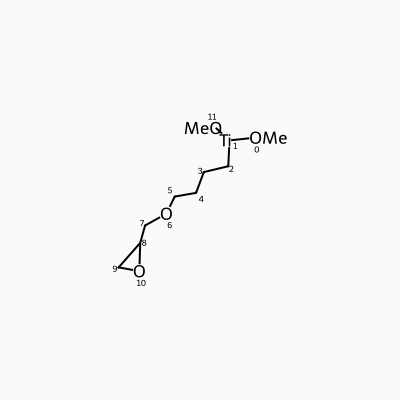 C[O][Ti]([CH2]CCCOCC1CO1)[O]C